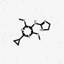 CSc1nc(C2CC2)nc(SC)c1NC1=NCCN1